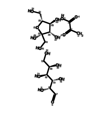 CC(=O)C(=O)O.O=C[C@H](O)[C@@H](O)[C@@H](O)[C@H](O)CO.OC[C@H]1O[C@](O)(CO)[C@@H](O)[C@@H]1O